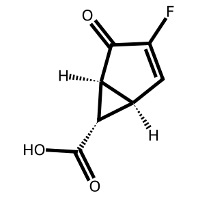 O=C(O)[C@H]1[C@@H]2C=C(F)C(=O)[C@@H]21